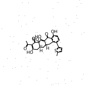 CC(=O)C1=C(O)C[C@@H]2C[C@@H]3Cc4c(-c5ccc(C)s5)ccc(O)c4C(=O)C3=C(O)[C@]2(O)C1=O